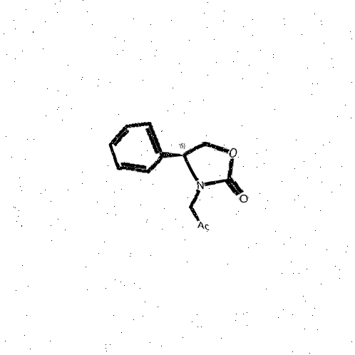 CC(=O)CN1C(=O)OC[C@@H]1c1ccccc1